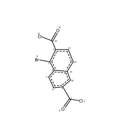 O=C(Cl)c1ccc2c(Br)c(C(=O)Cl)ccc2c1